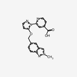 Cn1cc2cc(COc3ccnn3-c3cc(C(=O)O)ccn3)ccc2n1